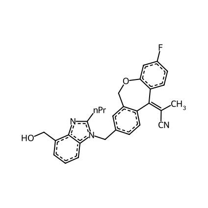 CCCc1nc2c(CO)cccc2n1Cc1ccc2c(c1)COc1cc(F)ccc1C2=C(C)C#N